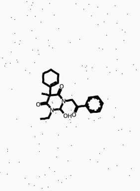 CCN1C(=O)C(C)(C2=CCCCC2)C(=O)N(CC(=O)c2ccccc2)C1O